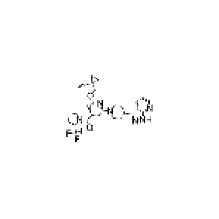 C#CC1(COc2nc(C(=O)N3CCCC3C(F)(F)F)cc(N3CCC(c4n[nH]c5ncccc45)CC3)n2)CC1